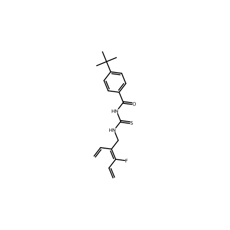 C=C/C(F)=C(\C=C)CNC(=S)NC(=O)c1ccc(C(C)(C)C)cc1